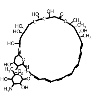 CC1OC(O[C@H]2/C=C/C=C/C=C/C=C/C=C/C=C/C=C/[C@H](C)[C@@H](O)[C@@H](C)[C@H](C)OC(=O)C[C@H](O)C[C@H](O)CC[C@@H](O)[C@H](O)C[C@H](O)C[C@@H]3C[C@H](O)C(C(=O)O)[C@H](C2)O3)C(O)C(N)C1O